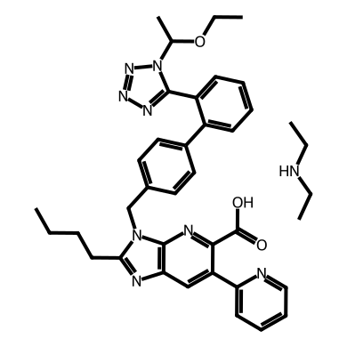 CCCCc1nc2cc(-c3ccccn3)c(C(=O)O)nc2n1Cc1ccc(-c2ccccc2-c2nnnn2C(C)OCC)cc1.CCNCC